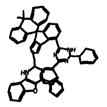 CC1(C)c2ccccc2C2(c3ccc(C4N=C(c5ccccc5)c5oc6ccccc6c5N4)cc3-c3c(C4=NC(c5ccccc5)=NC(C5C=CC=CC5)N4)cccc32)c2ccccc21